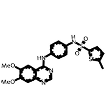 COc1cc2ncnc(Nc3ccc(NS(=O)(=O)c4ccc(C)s4)cc3)c2cc1OC